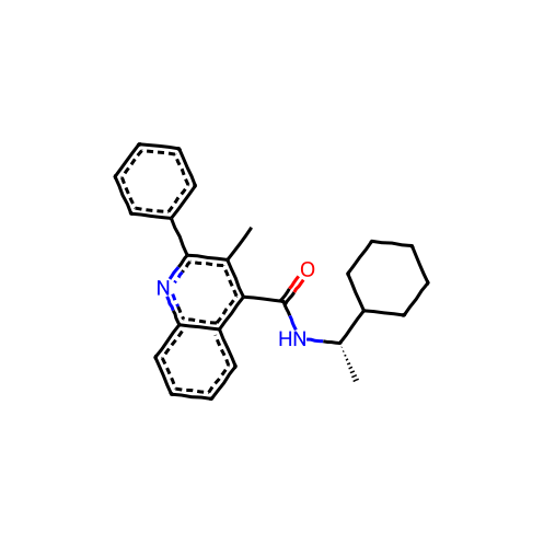 Cc1c(-c2ccccc2)nc2ccccc2c1C(=O)N[C@@H](C)C1CCCCC1